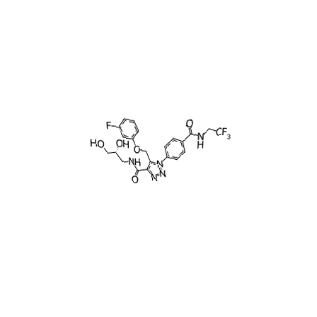 O=C(NCC(F)(F)F)c1ccc(-n2nnc(C(=O)NC[C@@H](O)CO)c2COc2cccc(F)c2)cc1